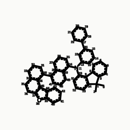 CC1(C)c2ccccc2-c2c(N(c3cccc(-c4ccccc4)c3)c3cccc4c(-c5cccc6ccc7oc8ccccc8c7c56)cccc34)cccc21